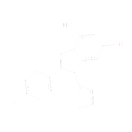 Cc1cc(O)cc2c1CC(c1ccc(O)cc1)C2c1cccs1